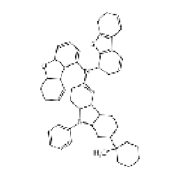 CC1(C2CCC3C4C=C(N(C5=CC=CC6OC7CCC=CC7C56)C5CC=Cc6c5sc5c6C=CCC5)CCC4N(c4ccccc4)C3C2)CCCCC1